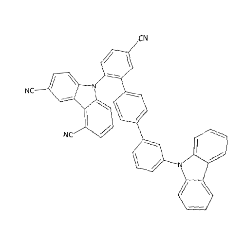 N#Cc1ccc(-n2c3ccc(C#N)cc3c3c(C#N)cccc32)c(-c2ccc(-c3cccc(-n4c5ccccc5c5ccccc54)c3)cc2)c1